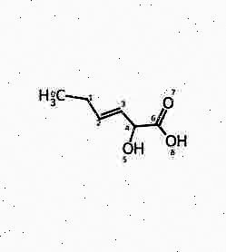 CCC=CC(O)C(=O)O